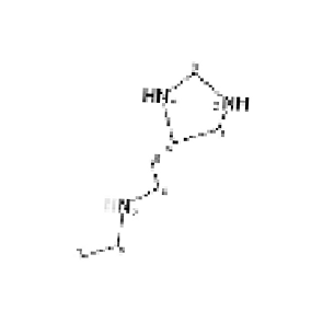 C1CNCN1.CCNCC